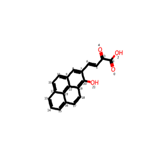 O=C(O)C(=O)C=Cc1cc2ccc3cccc4ccc(c1O)c2c34